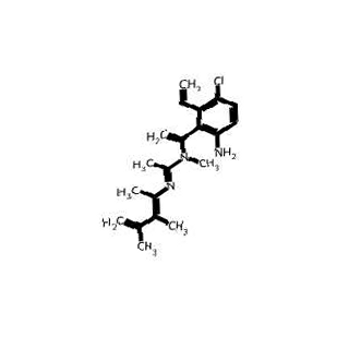 C=Cc1c(Cl)ccc(N)c1C(=C)N(C)/C(C)=N/C(C)=C(\C)C(=C)C